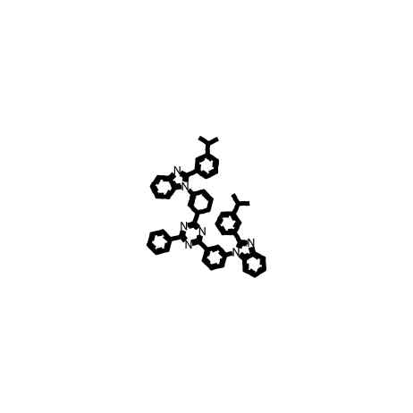 CC(C)c1cccc(-c2nc3ccccc3n2C2=CC(c3nc(-c4ccccc4)nc(-c4cccc(-n5c(-c6cccc(C(C)C)c6)nc6ccccc65)c4)n3)CC=C2)c1